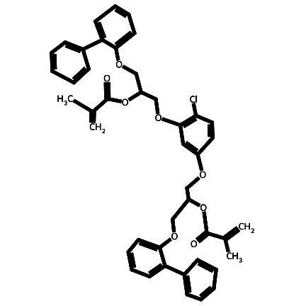 C=C(C)C(=O)OC(COc1ccc(Cl)c(OCC(COc2ccccc2-c2ccccc2)OC(=O)C(=C)C)c1)COc1ccccc1-c1ccccc1